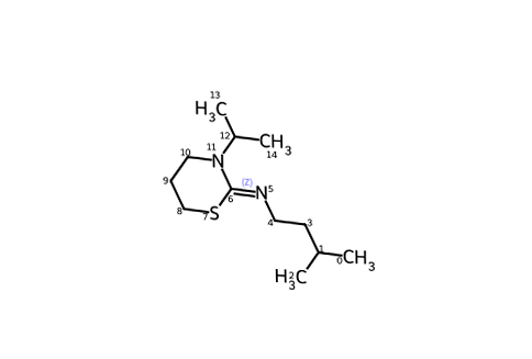 CC(C)CC/N=C1\SCCCN1C(C)C